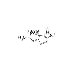 C=C(/C=c1/ccc2[nH][nH]c2/c1=C/C)S(=O)(=O)O